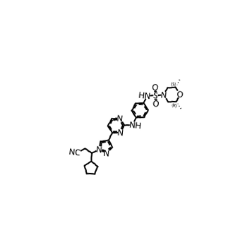 C[C@@H]1CN(S(=O)(=O)Nc2ccc(Nc3nccc(-c4cnn(C(CC#N)C5CCCC5)c4)n3)cc2)C[C@H](C)O1